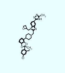 Cc1nnc(-c2ccc3c(c2)nc(CN2CCC(c4cccc5c4OC(C)(c4ccc(Cl)cc4F)O5)CC2)n3CC2CCO2)[nH]1